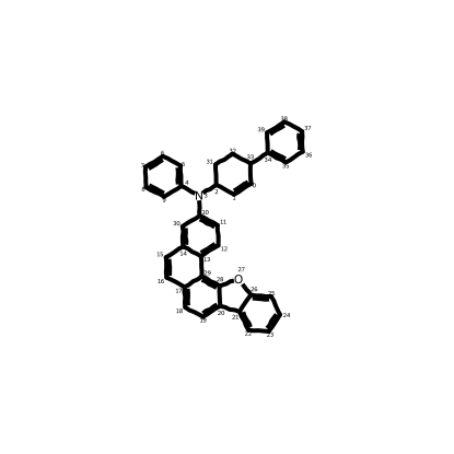 C1=CC(N(c2ccccc2)c2ccc3c(ccc4ccc5c6ccccc6oc5c43)c2)CCC1c1ccccc1